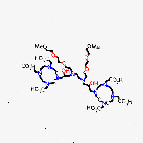 COCCOCCOCCN(CCN(CCOCCOCCOC)CC(O)CN1CCN(CC(=O)O)CCN(CC(=O)O)CCN(CC(=O)O)CC1)CC(O)CN1CCN(CC(=O)O)CCN(CC(=O)O)CCN(CC(=O)O)CC1